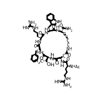 CC(=O)N[C@@H](CCCNC(=N)N)C(=O)N[C@H]1CC(=O)NCCCC[C@@H](C(N)=O)NC(=O)[C@H](Cc2c[nH]c3ccccc23)NC(=O)[C@H](CCCNC(=N)N)NC(=O)[C@@H](Cc2ccccc2)NC(=O)[C@H]([C@@H](C)O)NC1=O